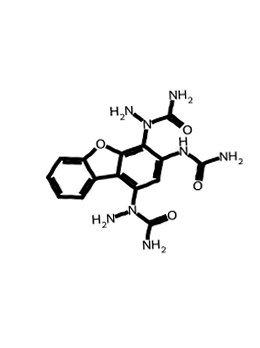 NC(=O)Nc1cc(N(N)C(N)=O)c2c(oc3ccccc32)c1N(N)C(N)=O